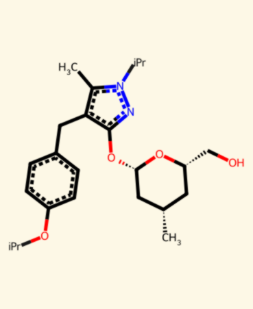 Cc1c(Cc2ccc(OC(C)C)cc2)c(O[C@H]2C[C@@H](C)C[C@@H](CO)O2)nn1C(C)C